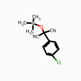 C[Si](C)(C)OC(C#N)(C#N)c1ccc(Cl)cc1